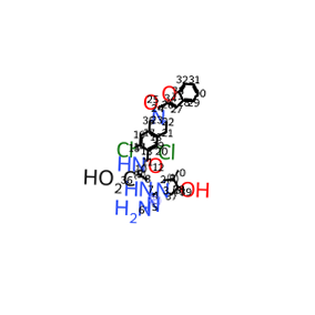 C[C@@H]1CN(/C(=N/N)NC[C@H](NC(=O)c2c(Cl)cc3c(c2Cl)CCN(C(=O)c2cc4ccccc4o2)C3)C(=O)O)C[C@H]1O